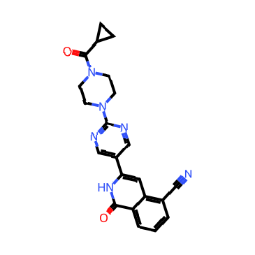 N#Cc1cccc2c(=O)[nH]c(-c3cnc(N4CCN(C(=O)C5CC5)CC4)nc3)cc12